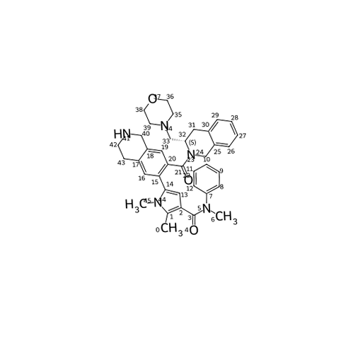 Cc1c(C(=O)N(C)c2ccccc2)cc(-c2cc3c(cc2C(=O)N2Cc4ccccc4C[C@H]2CN2CCOCC2)CNCC3)n1C